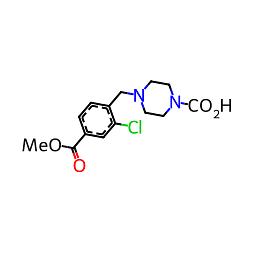 COC(=O)c1ccc(CN2CCN(C(=O)O)CC2)c(Cl)c1